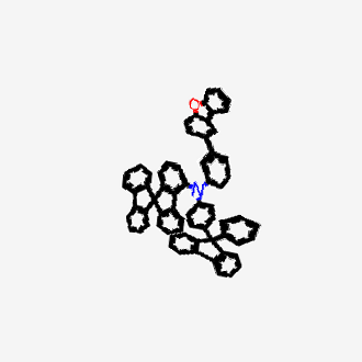 c1ccc(C2(c3ccc(N(c4cccc(-c5ccc6oc7ccccc7c6c5)c4)c4cccc5c4-c4ccccc4C54c5ccccc5-c5ccccc54)cc3)c3ccccc3-c3ccccc32)cc1